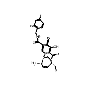 C[C@H]1C=C[C@@H](CF)N2CN1n1cc(C(=O)NCc3ccc(F)cc3F)c(=O)c(O)c1C2=O